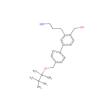 CC(C)(C)[Si](C)(C)OCc1ccc(-c2ccc(CO)c(CCCN)c2)cc1